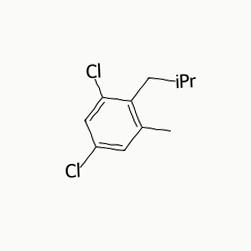 Cc1cc(Cl)cc(Cl)c1CC(C)C